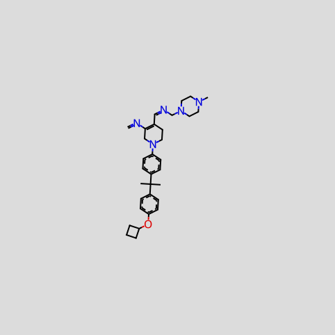 C=NC1=C(/C=N\CN2CCN(C)CC2)CCN(c2ccc(C(C)(C)c3ccc(OC4CCC4)cc3)cc2)C1